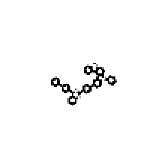 c1ccc(-c2ccc(-c3nc(-c4ccc(-c5ccc6c(c5)c5c7c(ccc5n6-c5ccccc5)oc5ccccc57)cc4)nc4ccccc34)cc2)cc1